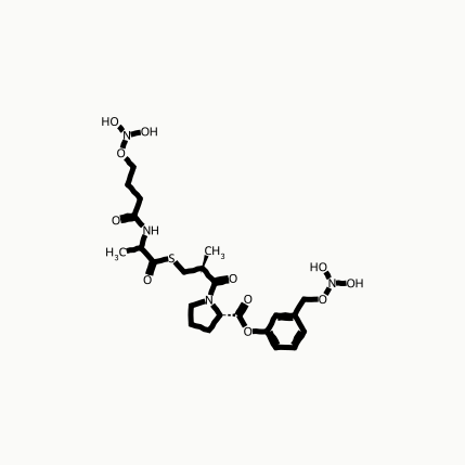 CC(NC(=O)CCCON(O)O)C(=O)SC[C@@H](C)C(=O)N1CCC[C@H]1C(=O)Oc1cccc(CON(O)O)c1